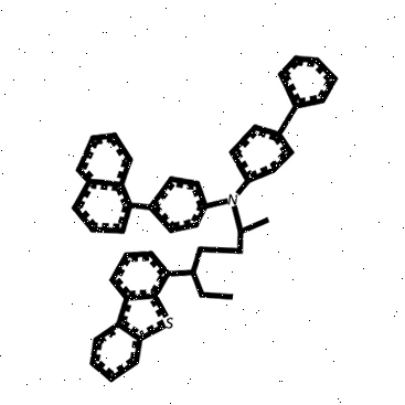 CCC(CCC(C)N(c1ccc(-c2ccccc2)cc1)c1ccc(-c2cccc3ccccc23)cc1)c1cccc2c1sc1ccccc12